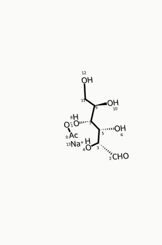 CC(=O)[O-].O=C[C@H](O)[C@@H](O)[C@H](O)[C@H](O)CO.[Na+]